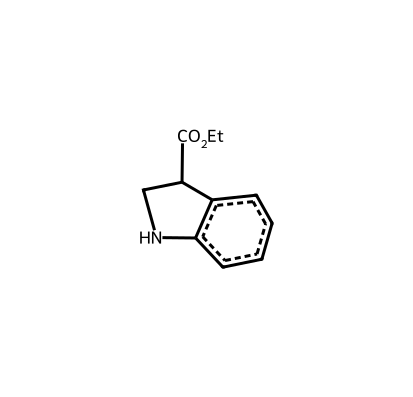 CCOC(=O)C1CNc2ccccc21